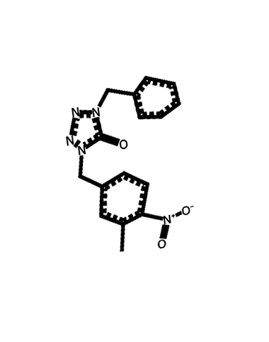 Cc1cc(Cn2nnn(Cc3ccccc3)c2=O)ccc1[N+](=O)[O-]